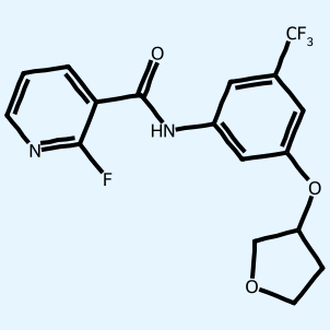 O=C(Nc1cc(OC2CCOC2)cc(C(F)(F)F)c1)c1cccnc1F